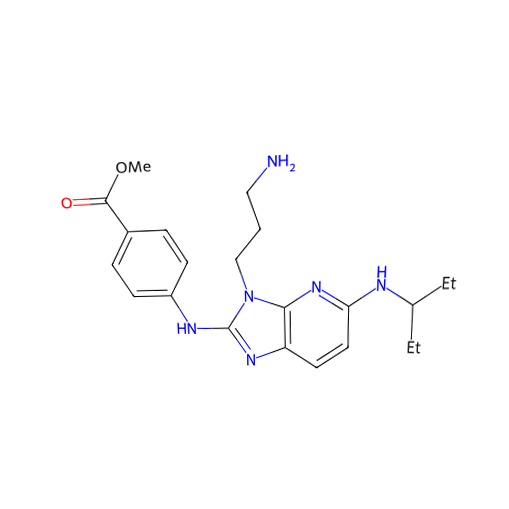 CCC(CC)Nc1ccc2nc(Nc3ccc(C(=O)OC)cc3)n(CCCN)c2n1